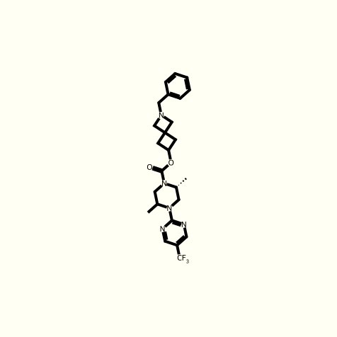 CC1CN(C(=O)OC2CC3(C2)CN(Cc2ccccc2)C3)[C@H](C)CN1c1ncc(C(F)(F)F)cn1